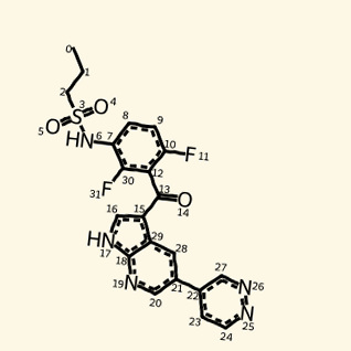 CCCS(=O)(=O)Nc1ccc(F)c(C(=O)c2c[nH]c3ncc(-c4ccnnc4)cc23)c1F